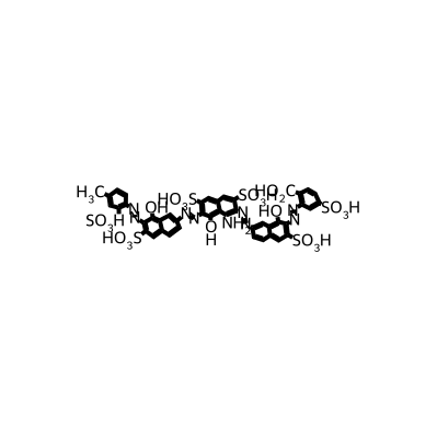 Cc1ccc(N=Nc2c(S(=O)(=O)O)cc3ccc(N=Nc4c(S(=O)(=O)O)cc5cc(S(=O)(=O)O)c(N=Nc6ccc7cc(S(=O)(=O)O)c(N=Nc8cc(S(=O)(=O)O)ccc8C(=O)O)c(O)c7c6)c(N)c5c4O)cc3c2O)c(S(=O)(=O)O)c1